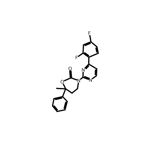 CC1(c2ccccc2)CCN(c2nccc(-c3ccc(F)cc3F)n2)C(=O)O1